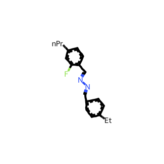 CCCc1ccc(C=NN=Cc2ccc(CC)cc2)c(F)c1